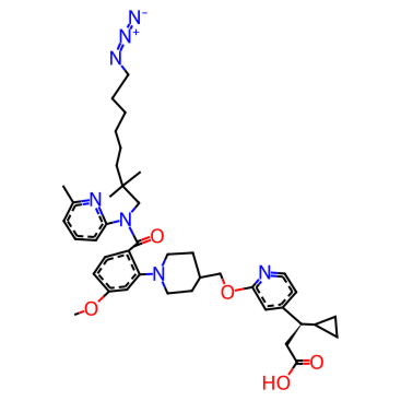 COc1ccc(C(=O)N(CC(C)(C)CCCCCCN=[N+]=[N-])c2cccc(C)n2)c(N2CCC(COc3cc([C@H](CC(=O)O)C4CC4)ccn3)CC2)c1